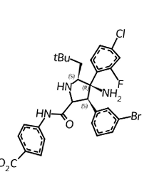 CC(C)(C)C[C@@H]1NC(C(=O)Nc2ccc(C(=O)O)cc2)[C@H](c2cccc(Br)c2)[C@@]1(N)c1ccc(Cl)cc1F